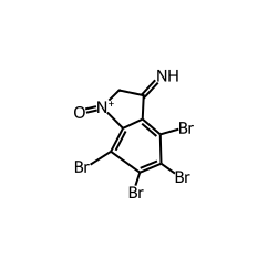 N=C1C[N+](=O)c2c(Br)c(Br)c(Br)c(Br)c21